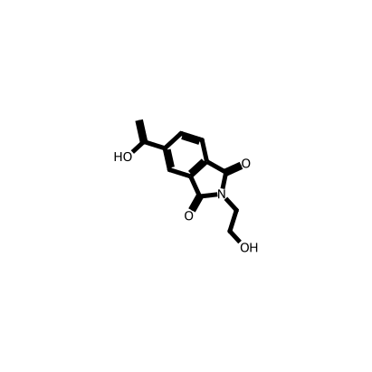 C=C(O)c1ccc2c(c1)C(=O)N(CCO)C2=O